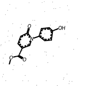 COC(=O)c1ccc(=O)n(-c2ccc(O)cc2)c1